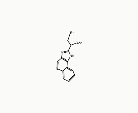 CC(=O)OC(CC(C)C)c1nc2cnc3ccccc3c2[nH]1